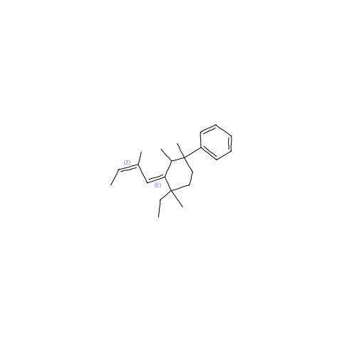 C/C=C(C)\C=C1/C(C)C(C)(c2ccccc2)CCC1(C)CC